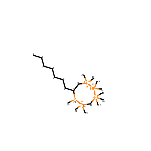 CCCCCCCC1C[PH](C)(C)[PH](C)(C)P(C)(C)(C)C[PH](C)(C)P1C